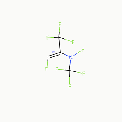 F/C=C(\N(F)C(F)(F)F)C(F)(F)F